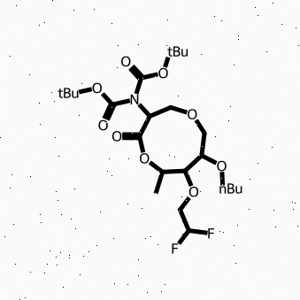 CCCCOC1COCC(N(C(=O)OC(C)(C)C)C(=O)OC(C)(C)C)C(=O)OC(C)C1OCC(F)F